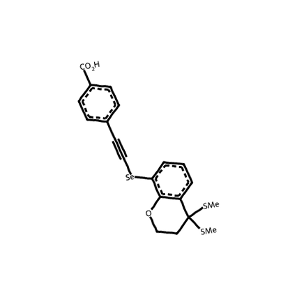 CSC1(SC)CCOc2c([Se]C#Cc3ccc(C(=O)O)cc3)cccc21